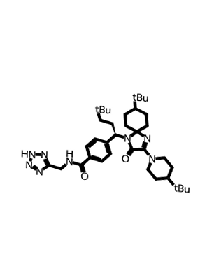 CC(C)(C)CC[C@H](c1ccc(C(=O)NCc2nn[nH]n2)cc1)N1C(=O)C(N2CCC(C(C)(C)C)CC2)=NC12CCC(C(C)(C)C)CC2